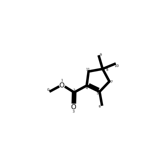 COC(=O)C1=C(C)CC(C)(C)C1